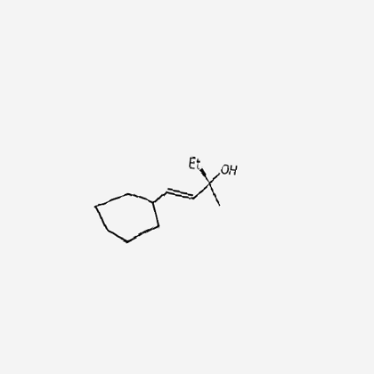 CC[C@](C)(O)C=CC1CCCCC1